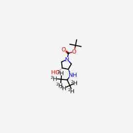 [2H]C([2H])([2H])C(N[C@@H]1CN(C(=O)OC(C)(C)C)C[C@H]1O)C([2H])([2H])[2H]